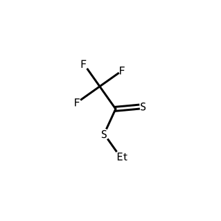 CCSC(=S)C(F)(F)F